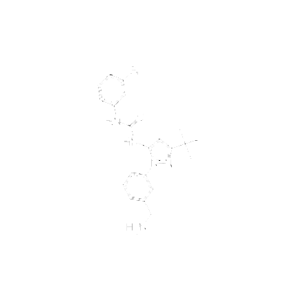 CC(C)(C)c1cc(NC(=O)Nc2cccc(Br)c2)n(-c2cccc(CN)c2)n1